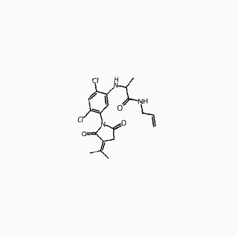 C=CCNC(=O)C(C)Nc1cc(N2C(=O)CC(=C(C)C)C2=O)c(Cl)cc1Cl